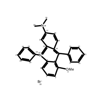 COc1cccc2c1c(-c1ccccc1)c1ccc(N(C)C)cc1[n+]2-c1ccccc1.[Br-]